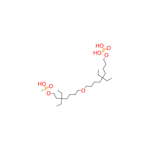 CCC(CC)(CCCCOCCCCC(CC)(CC)CCOP(C)(=O)O)CCCCOP(=O)(O)O